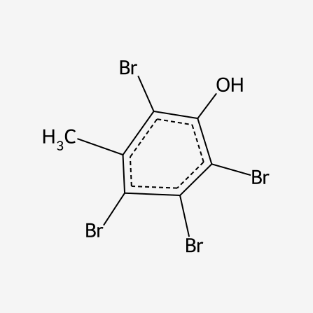 Cc1c(Br)c(O)c(Br)c(Br)c1Br